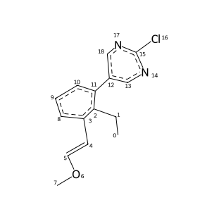 CCc1c(C=COC)cccc1-c1cnc(Cl)nc1